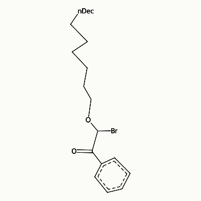 CCCCCCCCCCCCCCCCOC(Br)C(=O)c1ccccc1